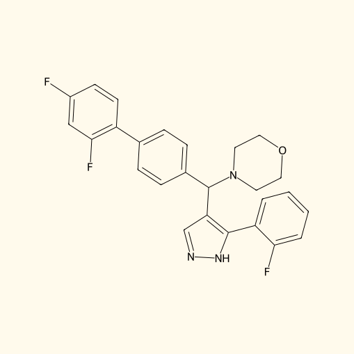 Fc1ccc(-c2ccc(C(c3cn[nH]c3-c3ccccc3F)N3CCOCC3)cc2)c(F)c1